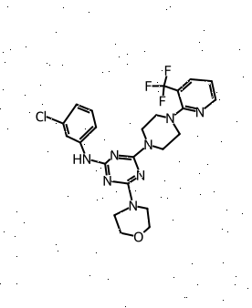 FC(F)(F)c1cccnc1N1CCN(c2nc(Nc3cccc(Cl)c3)nc(N3CCOCC3)n2)CC1